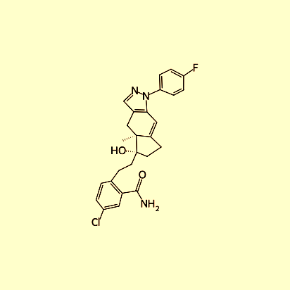 C[C@]12Cc3cnn(-c4ccc(F)cc4)c3C=C1CC[C@@]2(O)CCc1ccc(Cl)cc1C(N)=O